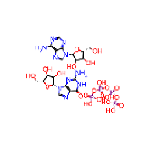 Nc1nc2c(ncn2[C@@H]2O[C@H](CO)[C@@H](O)[C@H]2O)c(=O)[nH]1.Nc1ncnc2c1ncn2[C@@H]1O[C@H](CO)[C@@H](O)[C@H]1O.O=P(O)(O)OP(=O)(O)OP(=O)(O)OP(=O)(O)O